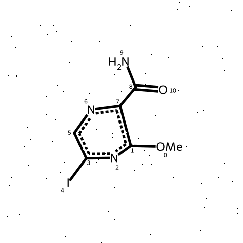 COc1nc(I)cnc1C(N)=O